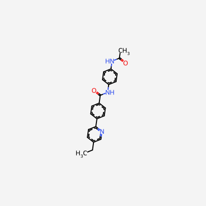 CCc1ccc(-c2ccc(C(=O)Nc3ccc(NC(C)=O)cc3)cc2)nc1